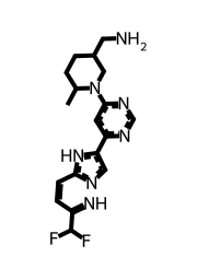 CC1CCC(CN)CN1c1cc(-c2cnc(/C=C\C(=N)C(F)F)[nH]2)ncn1